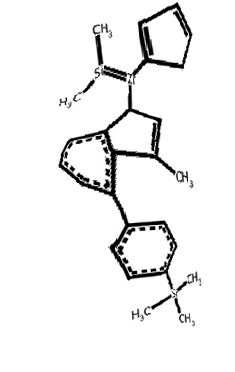 CC1=C[CH]([Zr]([C]2=CC=CC2)=[Si](C)C)c2cccc(-c3ccc([Si](C)(C)C)cc3)c21